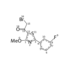 COc1nc(-c2cccc(F)c2)sc1C(=O)CBr